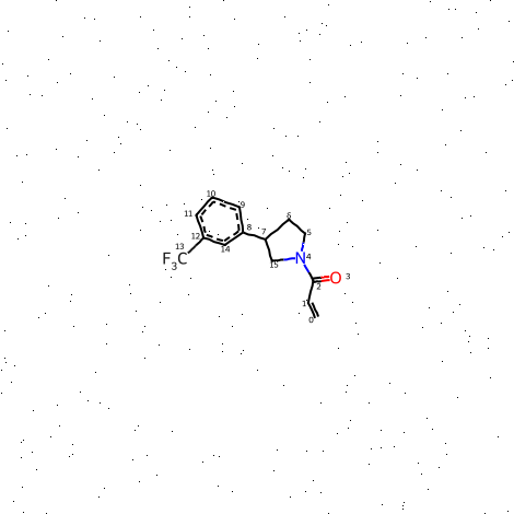 C=CC(=O)N1CCC(c2cccc(C(F)(F)F)c2)C1